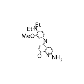 CCN(CC)c1ccc(N=C2C=CC(=O)c3nc(N)ccc32)cc1OC